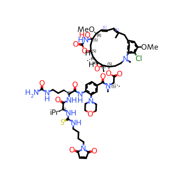 COc1cc2cc(c1Cl)N(C)CC[C@H](OC(=O)[C@H](C)N(C)C(=O)c1ccc(NC(=O)[C@H](CCCNC(N)=O)NC(=O)[C@@H](NC(=S)NCCCCN3C(=O)C=CC3=O)C(C)C)c(N3CCOCC3)c1)[C@]1(C)O[C@H]1[C@H](C)[C@@H]1C[C@@](O)(NC(=O)O1)[C@H](OC)/C=C/C=C(\C)C2